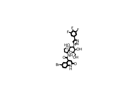 O=C(N[C@@H]1CCO[C@]12O[C@H](CO)[C@H](O)[C@H](n1cc(-c3cc(F)c(F)c(F)c3)nn1)[C@H]2O)c1cc(=O)[nH]c2ccc(Br)cc12